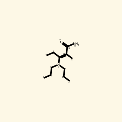 CCCN(CCC)/C(CC)=C(\C)C(N)=O